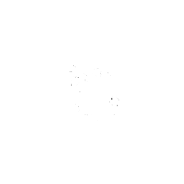 CN(CCCCc1cn(CC(C)(C)COCC(C)(C)CC(=O)NCC(=O)N2CC[C@@H](O)C2)nn1)Cc1ccc(-c2[nH]c3cc(F)cc4c3c2CCNC4=O)cc1